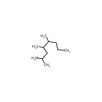 CCCC(C)C(C)CC(C)N